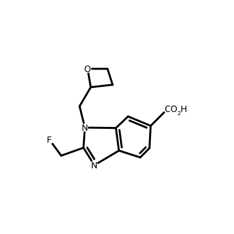 O=C(O)c1ccc2nc(CF)n(CC3CCO3)c2c1